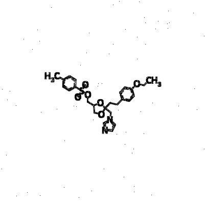 CCOc1ccc(CCC2(Cn3ccnc3)OCC(COS(=O)(=O)c3ccc(C)cc3)O2)cc1